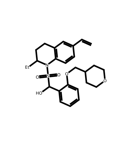 C=Cc1ccc2c(c1)CCC(CC)N2S(=O)(=O)C(O)c1ccccc1OCC1CCOCC1